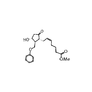 COC(=O)CCC/C=C\C[C@H]1C(=O)C[C@@H](O)[C@@H]1COc1ccccc1